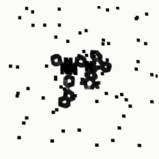 CC1(C)CCC(C)(C)c2cc3c(cc21)c1c2ccccc2c2ccccc2c1n3-c1cccc(-c2nc(C3=CC=CCC3)nc(C3C=CC(c4ccc5ccccc5c4)=CC3)n2)c1